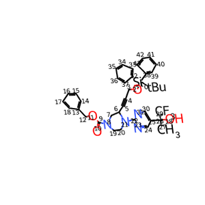 CC(C)(C)[Si](OCC#CC1CN(C(=O)OCc2ccccc2)CCN1c1ncc([C@@](C)(O)C(F)(F)F)cn1)(c1ccccc1)c1ccccc1